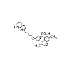 Cc1cc2c(c([C@@H](C(=O)O)N3CC[C@@H](OCCCCc4ccc5c(n4)NCCC5)C3)c1)C[C@H](C)CO2